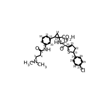 CN(C)CCC(=O)Nc1cccc(C2CC2(NS(=O)(=O)C2=CCC(c3ccc(Cl)cc3)S2)C(=O)O)c1